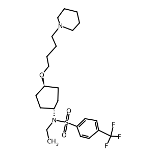 CCN([C@H]1CC[C@H](OCCCCN2CCCCC2)CC1)S(=O)(=O)c1ccc(C(F)(F)F)cc1